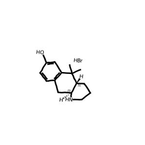 Br.CC1(C)c2cc(O)ccc2C[C@@H]2NCCC[C@H]21